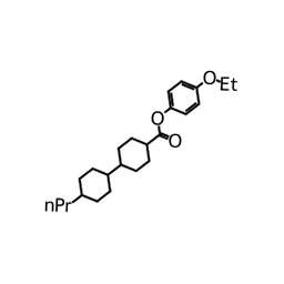 CCCC1CCC(C2CCC(C(=O)Oc3ccc(OCC)cc3)CC2)CC1